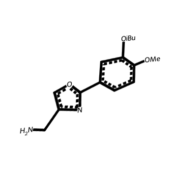 COc1ccc(-c2nc(CN)co2)cc1OCC(C)C